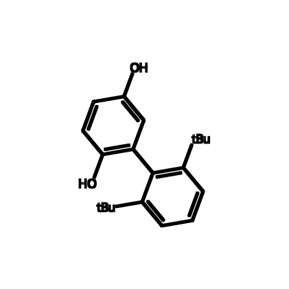 CC(C)(C)c1cccc(C(C)(C)C)c1-c1cc(O)ccc1O